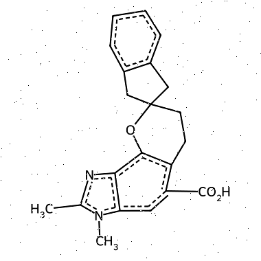 Cc1nc2c3c(c(C(=O)O)cc2n1C)CCC1(Cc2ccccc2C1)O3